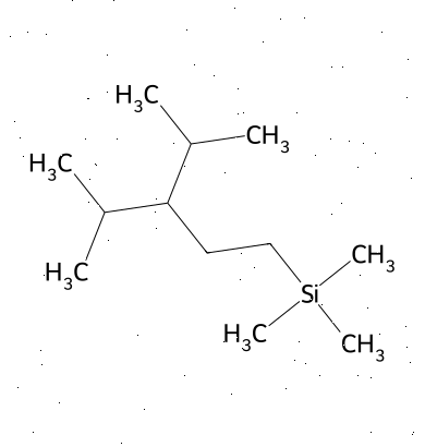 CC(C)C(CC[Si](C)(C)C)C(C)C